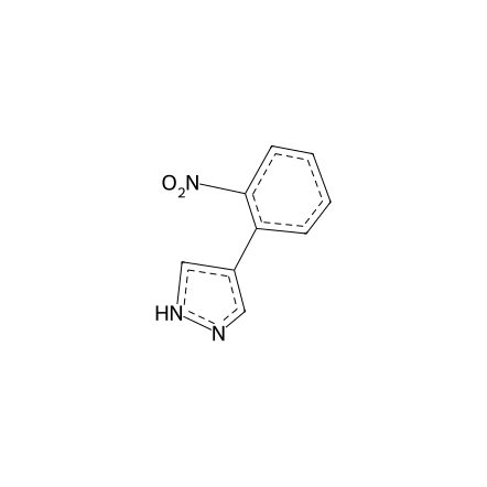 O=[N+]([O-])c1ccccc1-c1cn[nH]c1